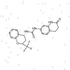 C[C@@]1(C(F)(F)F)C[C@@H](NC(=O)Nc2ccc3c(c2)NC(=O)CC3)c2ccccc2O1